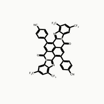 N#Cc1ccc(-c2cc3c(=O)n4c5cc(C(F)(F)F)cc(C(F)(F)F)c5nc4c4c(-c5ccc(C#N)cc5)cc5c(=O)n6c7cc(C(F)(F)F)cc(C(F)(F)F)c7nc6c2c5c34)cc1